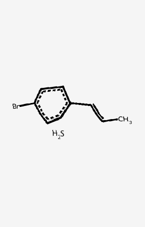 CC=Cc1ccc(Br)cc1.S